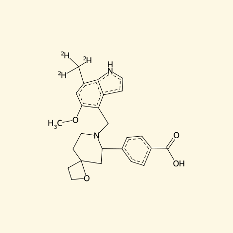 [2H]C([2H])([2H])c1cc(OC)c(CN2CCC3(CCO3)CC2c2ccc(C(=O)O)cc2)c2cc[nH]c12